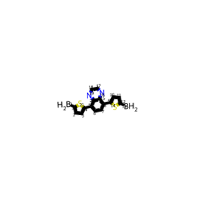 Bc1ccc(-c2ccc(-c3ccc(B)s3)c3nccnc23)s1